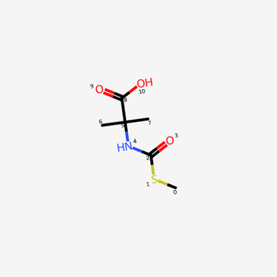 CSC(=O)NC(C)(C)C(=O)O